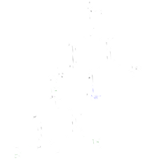 CC(C)(C)c1cc([N+](=O)[O-])cc([N+](=O)[O-])c1Nc1c(Br)cc(Br)cc1Br